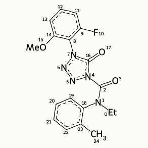 CCN(C(=O)n1nnn(-c2c(F)cccc2OC)c1=O)c1ccccc1C